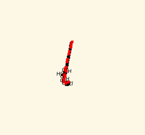 CCC=CCC=CCC=CCC=CCC=CCC=CCCC(=O)NCCC(CCNC(=O)C(C)(C)Oc1ccc(Cl)cc1)C(=O)O